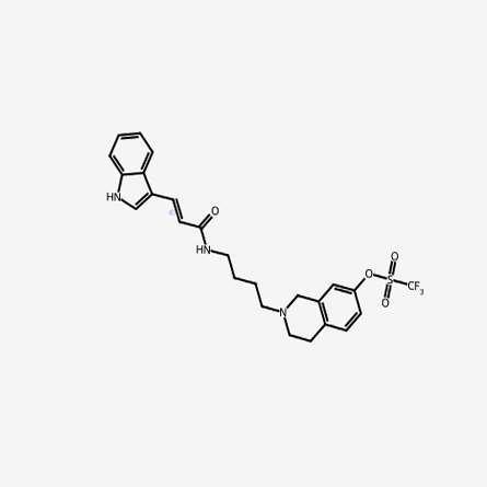 O=C(/C=C/c1c[nH]c2ccccc12)NCCCCN1CCc2ccc(OS(=O)(=O)C(F)(F)F)cc2C1